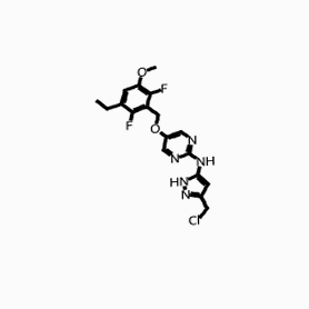 CCc1cc(OC)c(F)c(COc2cnc(Nc3cc(CCl)n[nH]3)nc2)c1F